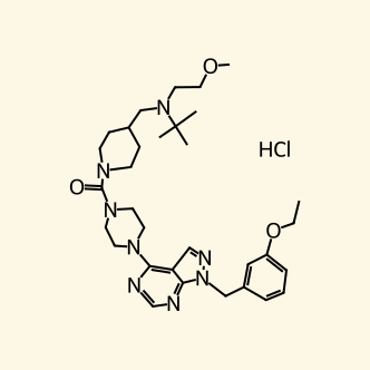 CCOc1cccc(Cn2ncc3c(N4CCN(C(=O)N5CCC(CN(CCOC)C(C)(C)C)CC5)CC4)ncnc32)c1.Cl